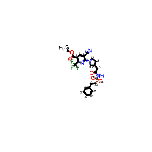 CCOC(=O)c1cc(C#N)c(N2CCC(CC(=O)NS(=O)(=O)CCc3ccccc3)C2)nc1C(F)(F)F